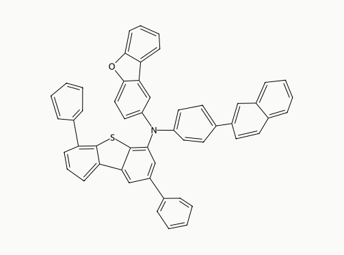 c1ccc(-c2cc(N(c3ccc(-c4ccc5ccccc5c4)cc3)c3ccc4oc5ccccc5c4c3)c3sc4c(-c5ccccc5)cccc4c3c2)cc1